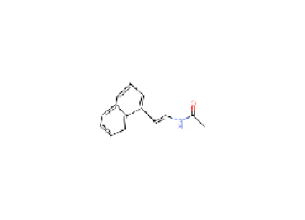 CC(=O)NC=Cc1cccc2ccccc12